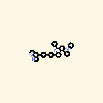 c1ccc(-c2nc3c(-c4ccc(-c5ccc(-c6cc7cccnc7c7ncccc67)cc5)cc4)cccc3c3c2ccc2c3c3ccccc3n2-c2ccccc2)cc1